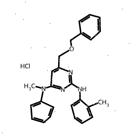 Cc1ccccc1Nc1nc(COCc2ccccc2)cc(N(C)c2ccccc2)n1.Cl